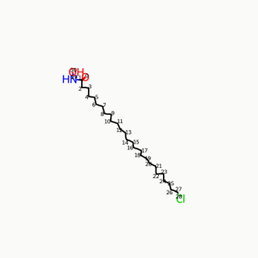 O=C(CCCCCCCCCCCCCCCCCCCCCCCCCCCl)NO